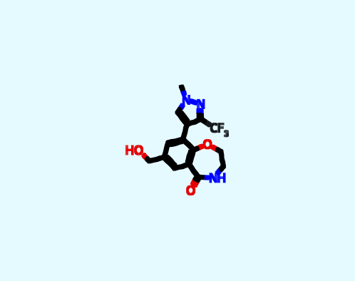 Cn1cc(-c2cc(CO)cc3c2OCCNC3=O)c(C(F)(F)F)n1